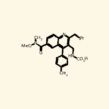 CON(C)C(=O)c1ccc2nc(CC(C)C)c(CNC(=O)O)c(-c3ccc(C)cc3)c2c1